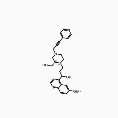 COc1ccc2nccc(C(O)CC[C@@H]3CCN(CC#Cc4ccncc4)C[C@@H]3CO)c2c1